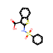 O=C(O)c1c(NS(=O)(=O)c2ccccc2)sc2ccccc12